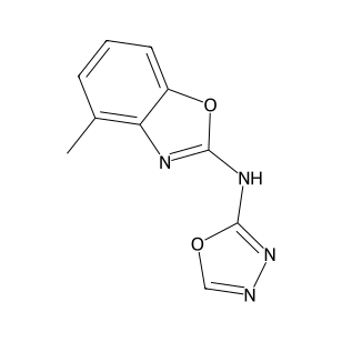 Cc1cccc2oc(Nc3nnco3)nc12